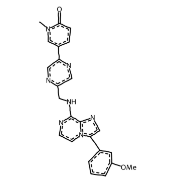 COc1cccc(-c2cnc3c(NCc4cnc(-c5ccc(=O)n(C)c5)cn4)nccn23)c1